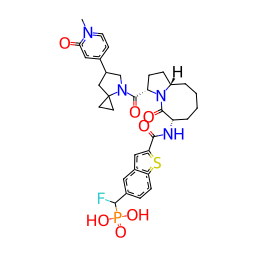 Cn1ccc(C2CN(C(=O)[C@@H]3CC[C@@H]4CCCC[C@H](NC(=O)c5cc6cc(C(F)P(=O)(O)O)ccc6s5)C(=O)N43)C3(CC3)C2)cc1=O